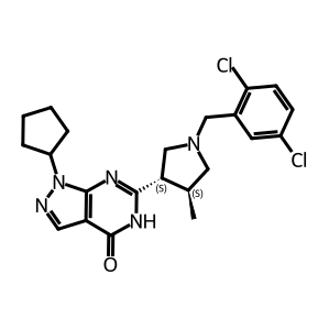 C[C@@H]1CN(Cc2cc(Cl)ccc2Cl)C[C@H]1c1nc2c(cnn2C2CCCC2)c(=O)[nH]1